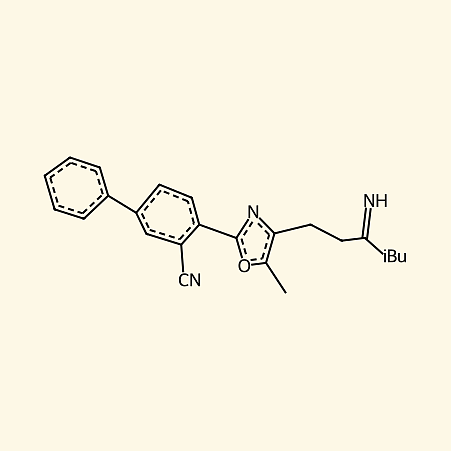 CCC(C)C(=N)CCc1nc(-c2ccc(-c3ccccc3)cc2C#N)oc1C